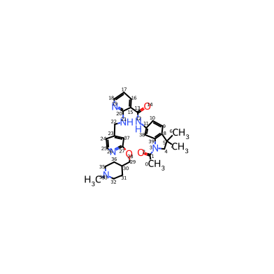 CC(=O)N1CC(C)(C)c2ccc(NC(=O)c3cccnc3NCc3ccnc(OCC4CCN(C)CC4)c3)cc21